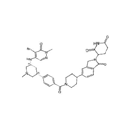 CN1C[C@H](Nc2cnn(C)c(=O)c2Br)C[C@H](c2ccc(C(=O)N3CCC(c4ccc5c(c4)CN(C4CCC(=O)NC4=O)C5=O)CC3)cc2)C1